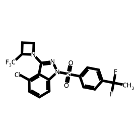 CC(F)(F)c1ccc(S(=O)(=O)n2nc(N3CCC3C(F)(F)F)c3c(Cl)cccc32)cc1